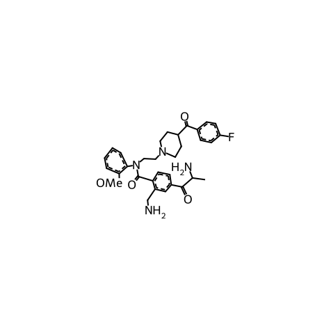 COc1ccccc1N(CCN1CCC(C(=O)c2ccc(F)cc2)CC1)C(=O)c1ccc(C(=O)C(C)N)cc1CN